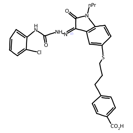 CCCN1C(=O)/C(=N\NC(=O)Nc2ccccc2Cl)c2cc(SCCCc3ccc(C(=O)O)cc3)ccc21